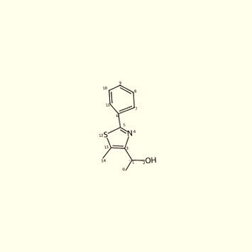 C[C](O)c1nc(-c2ccccc2)sc1C